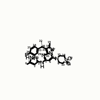 Cc1cc(Nc2cc(N3CCS(=O)(=O)CC3)n3nc(C)c([C@@H](C)c4ccc(F)cc4)c3n2)n[nH]1